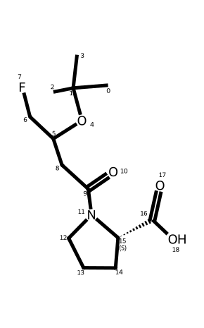 CC(C)(C)OC(CF)CC(=O)N1CCC[C@H]1C(=O)O